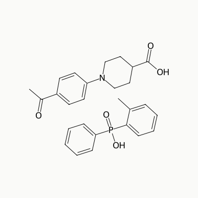 CC(=O)c1ccc(N2CCC(C(=O)O)CC2)cc1.Cc1ccccc1P(=O)(O)c1ccccc1